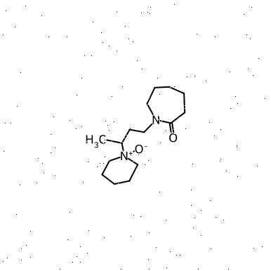 CC(CCN1CCCCCC1=O)[N+]1([O-])CCCCC1